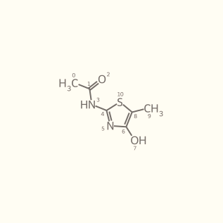 CC(=O)Nc1nc(O)c(C)s1